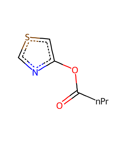 CCCC(=O)Oc1cscn1